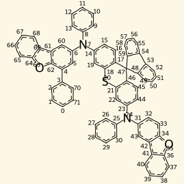 c1ccc(-c2cc(N(c3ccccc3)c3ccc4c(c3)Sc3cc(N(c5ccccc5)c5ccc6oc7ccccc7c6c5)ccc3C43c4ccccc4-c4ccccc43)cc3c2oc2ccccc23)cc1